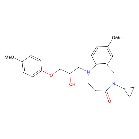 COc1ccc(OCC(O)CN2CCC(=O)N(C3CC3)Cc3cc(OC)ccc32)cc1